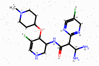 CN1CCC(OC2C(F)=CNCC2NC(=O)C(C2=NCC(F)=C=N2)C(N)N)CC1